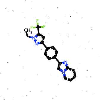 CCn1nc(-c2ccc(-c3cn4ccccc4n3)cc2)cc1C(F)(F)F